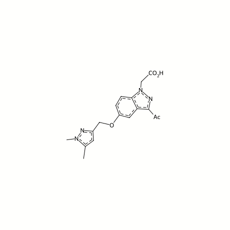 CC(=O)c1nn(CC(=O)O)c2ccc(OCc3cc(C)n(C)n3)cc12